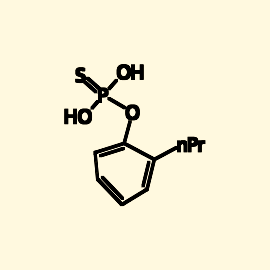 CCCc1ccccc1OP(O)(O)=S